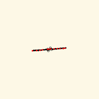 CCCCCCCCCCCCCCCCCCOC(=O)/C=C/C(=O)OCCCCCCCCCCCCCCCCCC